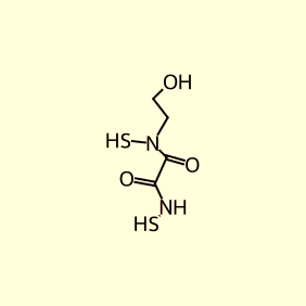 O=C(NS)C(=O)N(S)CCO